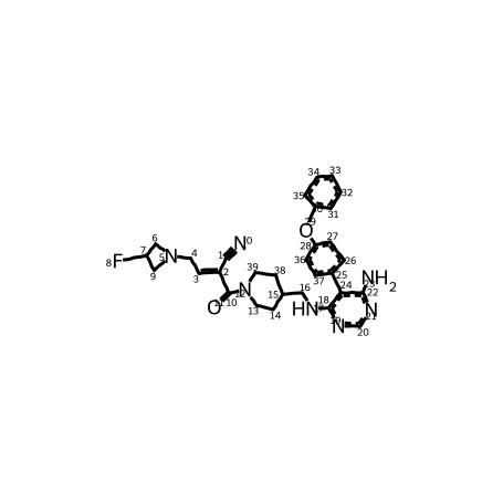 N#C/C(=C\CN1CC(F)C1)C(=O)N1CCC(CNc2ncnc(N)c2-c2ccc(Oc3ccccc3)cc2)CC1